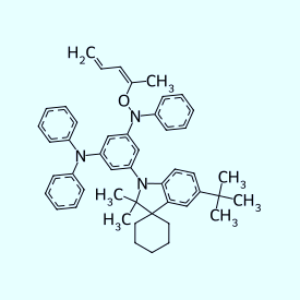 C=C/C=C(/C)ON(c1ccccc1)c1cc(N(c2ccccc2)c2ccccc2)cc(N2c3ccc(C(C)(C)C)cc3C3(CCCCC3)C2(C)C)c1